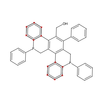 OCc1c(-c2ccccc2)c(CP(c2ccccc2)c2ccccc2)c(-c2ccccc2)c(CP(c2ccccc2)c2ccccc2)c1-c1ccccc1